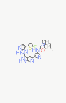 CN(C)CC(=O)Nc1cncc(-c2cc3c(-c4nc5c(-c6ccc(F)s6)ccnc5[nH]4)n[nH]c3cn2)c1